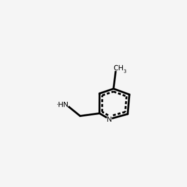 Cc1ccnc(C[NH])c1